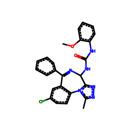 COc1ccccc1NC(=O)NC1N=C(c2ccccc2)c2cc(Cl)ccc2-n2c(C)nnc21